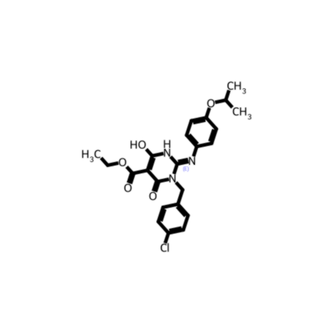 CCOC(=O)c1c(O)[nH]/c(=N\c2ccc(OC(C)C)cc2)n(Cc2ccc(Cl)cc2)c1=O